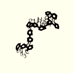 Cc1ccccc1-c1ccc2c3c(C)cccc3n(-c3ccc(-c4ccc(-n5c6cc(-c7cccc(-c8cc9c%10c(c8)c8ccccc8n%10-c8cccc%10c%11ccccc%11n(c8%10)C9(C)C)c7C)ccc6c6c(C)cccc65)cc4)cc3)c2c1